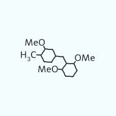 COC1CC(CC2C(OC)CCCC2OC)CCC1C